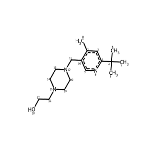 Cc1cc(C(C)(C)C)ncc1CN1CCN(CCO)CC1